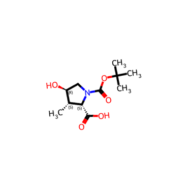 C[C@H]1[C@@H](C(=O)O)N(C(=O)OC(C)(C)C)C[C@@H]1O